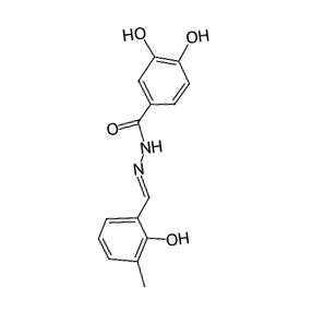 Cc1cccc(/C=N/NC(=O)c2ccc(O)c(O)c2)c1O